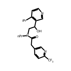 CCCN(CC(O)c1cnccc1C(C)C)C(=O)Cc1ccc(C(F)(F)F)nc1